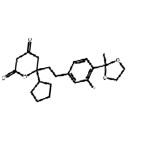 CC1(c2ccc(CCC3(C4CCCC4)CC(=O)CC(=O)O3)cc2F)OCCO1